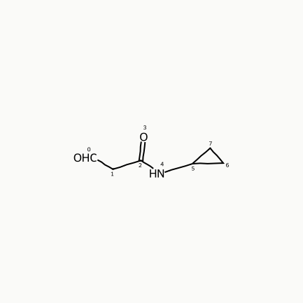 O=CCC(=O)NC1CC1